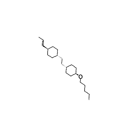 C/C=C/[C@H]1CC[C@H](CC[C@H]2CC[C@H](OCCCCC)CC2)CC1